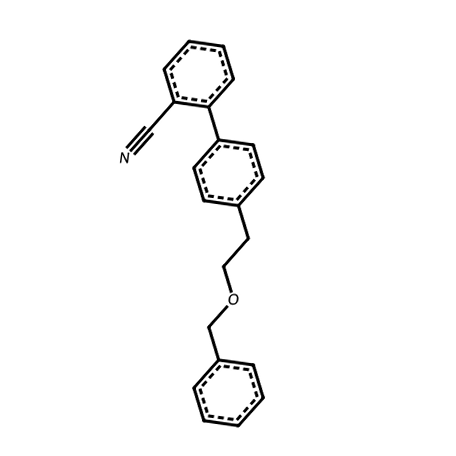 N#Cc1ccccc1-c1ccc(CCOCc2ccccc2)cc1